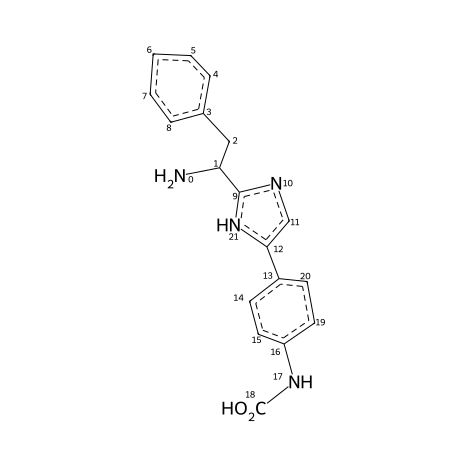 NC(Cc1ccccc1)c1ncc(-c2ccc(NC(=O)O)cc2)[nH]1